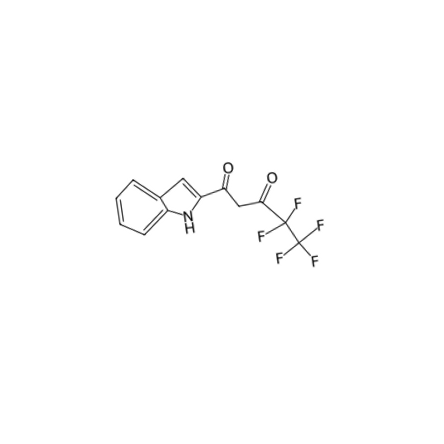 O=C(CC(=O)C(F)(F)C(F)(F)F)c1cc2ccccc2[nH]1